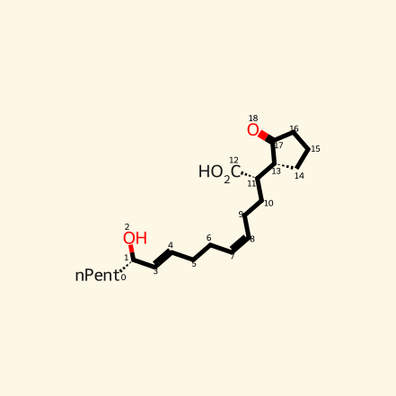 CCCCC[C@H](O)/C=C/CC/C=C\CC[C@H](C(=O)O)[C@H]1CCCC1=O